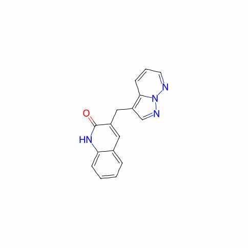 O=c1[nH]c2ccccc2cc1Cc1cnn2ncccc12